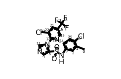 Cc1cc(NS(=O)(=O)c2cncn2-c2ncc(C(F)(F)F)cc2Cl)ccc1Cl